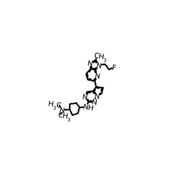 Cc1nc2ccc(-c3ccn4nc(NC5CCC(N(C)C)CC5)ncc34)nc2n1CCF